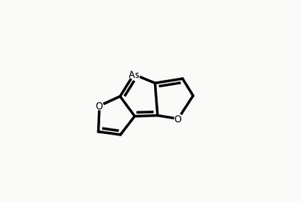 C1=C2[As]=c3occc3=C2OC1